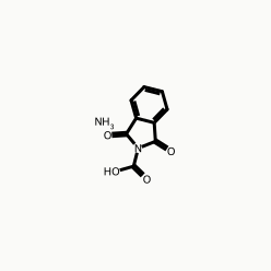 N.O=C(O)N1C(=O)c2ccccc2C1=O